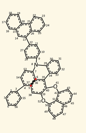 c1ccc(-c2ccc(N(c3ccc(-c4cc5ccccc5c5ccccc45)cc3)c3ccccc3-c3cccc4c3Oc3cccc5cccc(c35)O4)cc2)cc1